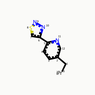 CC(C)Cc1ccc(-c2csnn2)nc1